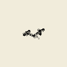 CN(COCOCOC(=O)N(Cc1cccs1)Cc1cccs1)COCOCOC(=O)N(Cc1cccs1)Cc1cccs1